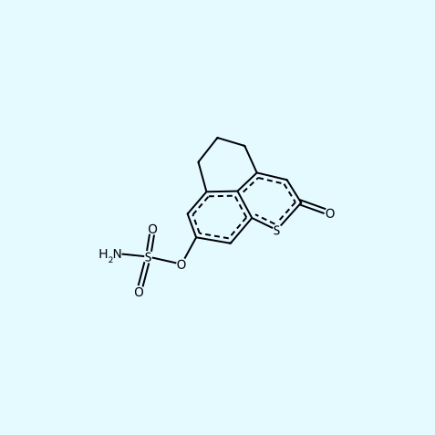 NS(=O)(=O)Oc1cc2c3c(cc(=O)sc3c1)CCC2